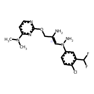 CN(C)c1ccnc(OC/C(N)=C/N(N)c2ccc(Cl)c(C(F)F)c2)n1